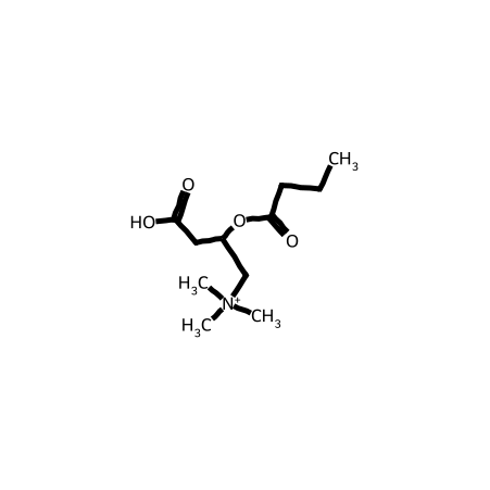 CCCC(=O)OC(CC(=O)O)C[N+](C)(C)C